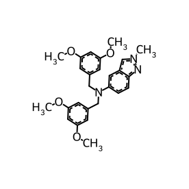 COc1cc(CN(Cc2cc(OC)cc(OC)c2)c2ccc3nn(C)cc3c2)cc(OC)c1